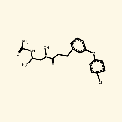 CC(CN(O)C(=O)CCc1cccc(Oc2ccc(Cl)cc2)c1)NC(N)=O